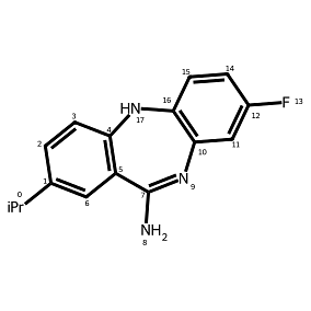 CC(C)c1ccc2c(c1)C(N)=Nc1cc(F)ccc1N2